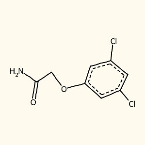 NC(=O)COc1cc(Cl)cc(Cl)c1